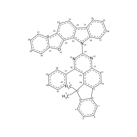 CC1(C)c2ccccc2-c2ccc3nc(-n4c5ccccc5c5ccc6c7ccccc7oc6c54)nc(-c4ccccc4)c3c21